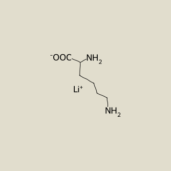 NCCCCC(N)C(=O)[O-].[Li+]